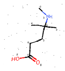 CNC(C)(C)CCC(=O)O